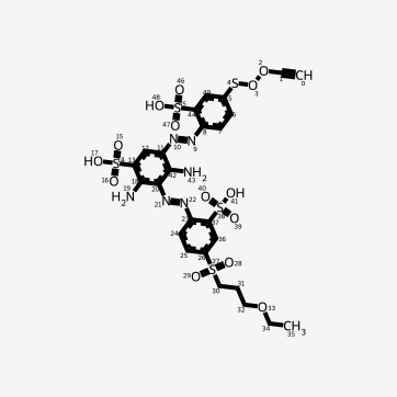 C#COOSc1ccc(N=Nc2cc(S(=O)(=O)O)c(N)c(N=Nc3ccc(S(=O)(=O)CCCOCC)cc3S(=O)(=O)O)c2N)c(S(=O)(=O)O)c1